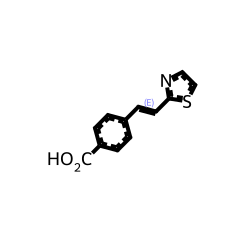 O=C(O)c1ccc(/C=C/c2nccs2)cc1